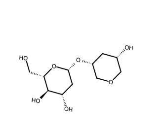 OC[C@@H]1O[C@H](O[C@H]2COC[C@@H](O)C2)C[C@H](O)[C@H]1O